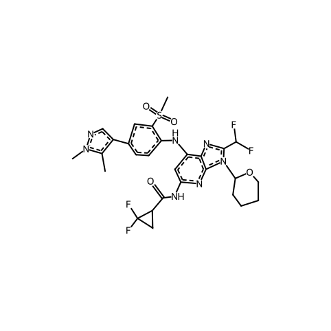 Cc1c(-c2ccc(Nc3cc(NC(=O)C4CC4(F)F)nc4c3nc(C(F)F)n4C3CCCCO3)c(S(C)(=O)=O)c2)cnn1C